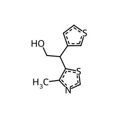 Cc1ncsc1C(CO)c1ccsc1